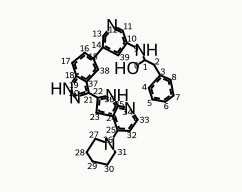 OC(Cc1ccccc1)Nc1cncc(-c2ccc3[nH]nc(-c4cc5c(N6CCCCC6)ccnc5[nH]4)c3c2)c1